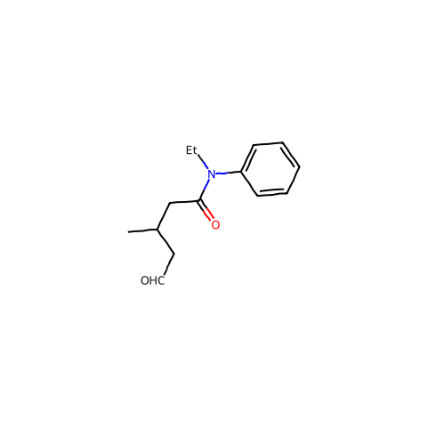 CCN(C(=O)CC(C)CC=O)c1ccccc1